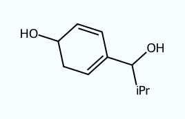 CC(C)C(O)C1=CCC(O)C=C1